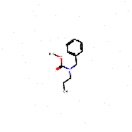 CC(C)(C)OC(=O)N(CCC#N)Cc1ccccc1